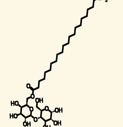 CCCCCCCCCCCCCCCCCCCCCC(=O)OC[C@H]1O[C@@H](O[C@H]2[C@H](O)[C@@H](O)[C@@H](O)O[C@@H]2CO)[C@H](O)[C@@H](O)[C@H]1O